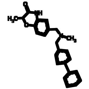 CC1Oc2ccc(CN(C)Cc3ccc(-c4ccccc4)cc3)cc2NC1=O